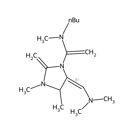 C=C(N(C)CCCC)N1C(=C)N(C)C(C)/C1=C\N(C)C